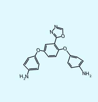 Nc1ccc(Oc2ccc(Oc3ccc(N)cc3)c(-c3nnco3)c2)cc1